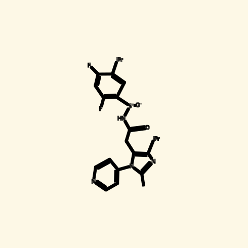 Cc1nc(C(C)C)c(CC(=O)N[S+]([O-])c2cc(C(C)C)c(F)cc2F)n1-c1ccncc1